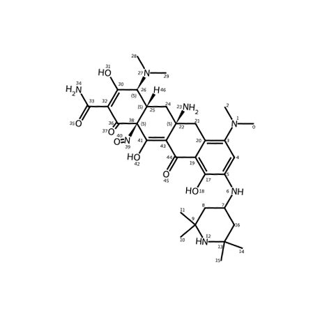 CN(C)c1cc(NC2CC(C)(C)NC(C)(C)C2)c(O)c2c1C[C@@]1(N)C[C@H]3[C@H](N(C)C)C(O)=C(C(N)=O)C(=O)[C@@]3(N=O)C(O)=C1C2=O